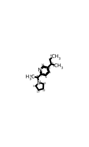 CCC(C)c1ccc(C(C)N2CCCC2)nc1